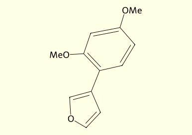 COc1ccc(-c2ccoc2)c(OC)c1